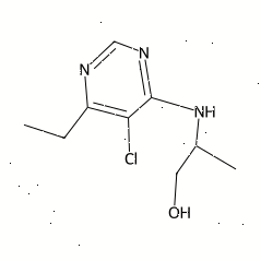 CCc1ncnc(NC(C)CO)c1Cl